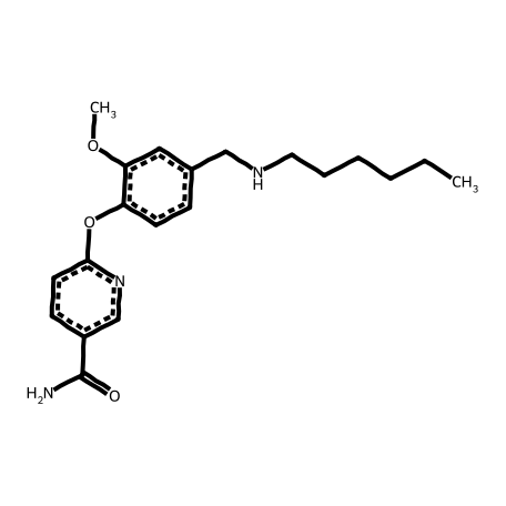 CCCCCCNCc1ccc(Oc2ccc(C(N)=O)cn2)c(OC)c1